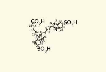 CC1(C)C(/C=C/C=C/C=C2/N(CCCCCC(=O)O)c3ccc(S(=O)(=O)O)cc3C2(C)C)=Nc2ccc(S(=O)(=O)O)cc21